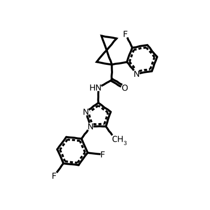 Cc1cc(NC(=O)C2(c3ncccc3F)CC23CC3)nn1-c1ccc(F)cc1F